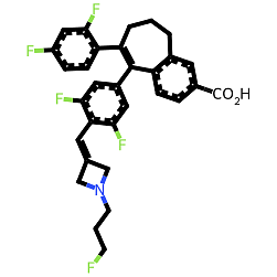 O=C(O)c1ccc2c(c1)CCCC(c1ccc(F)cc1F)=C2c1cc(F)c(C=C2CN(CCCF)C2)c(F)c1